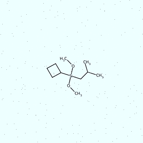 CO[Si](CC(C)C)(OC)C1CCC1